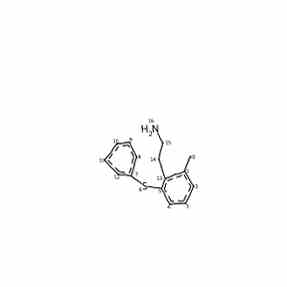 [CH2]c1cccc(Sc2ccccc2)c1CCN